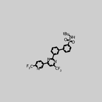 CC(C)(C)NS(=O)(=O)c1cccc(-c2cccc(-c3nc(-c4ccc(C(F)(F)F)nc4)cc(C(F)(F)F)n3)c2)c1